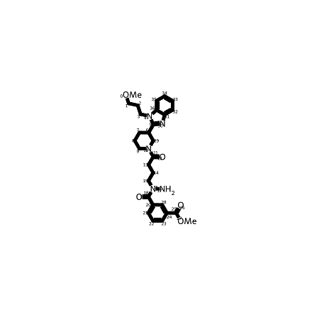 COCCCn1c(C2CCCN(C(=O)CCCN(N)C(=O)c3cccc(C(=O)OC)c3)C2)nc2ccccc21